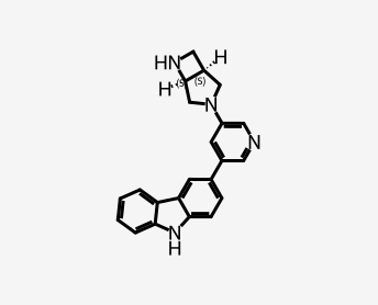 c1ccc2c(c1)[nH]c1ccc(-c3cncc(N4C[C@@H]5CN[C@@H]5C4)c3)cc12